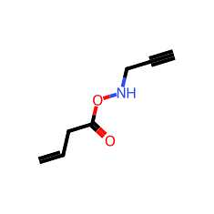 C#CCNOC(=O)CC=C